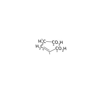 C=CC(=O)O.CC(=O)O